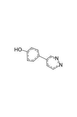 Oc1ccc(-c2ccnnc2)cc1